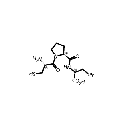 CC(C)C[C@H](NC(=O)[C@@H]1CCCN1C(=O)[C@@H](N)CS)C(=O)O